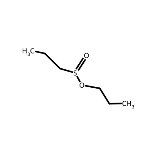 CCCOS(=O)CCC